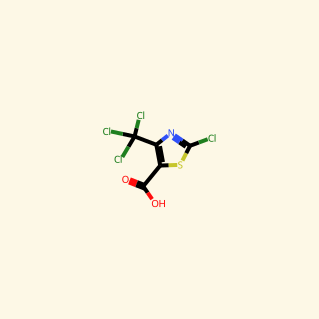 O=C(O)c1sc(Cl)nc1C(Cl)(Cl)Cl